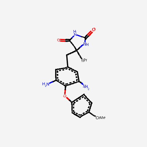 CCCC1(Cc2cc(N)c(Oc3ccc(OC)cc3)c(N)c2)NC(=O)NC1=O